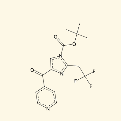 CC(C)(C)OC(=O)n1cc(C(=O)c2ccncc2)nc1CC(F)(F)F